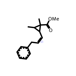 COC(=O)C1(C)C(C)C1/C=C\Cc1ccccc1